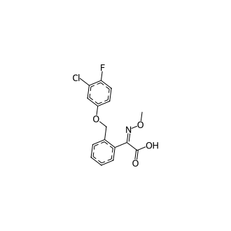 CON=C(C(=O)O)c1ccccc1COc1ccc(F)c(Cl)c1